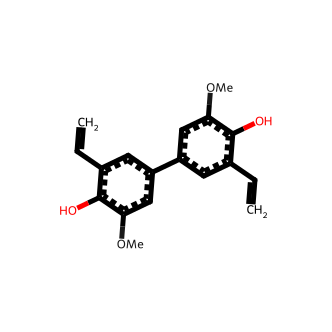 C=Cc1cc(-c2cc(C=C)c(O)c(OC)c2)cc(OC)c1O